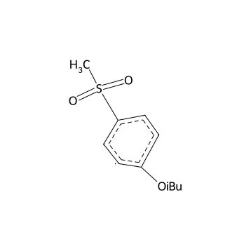 CC(C)COc1[c]cc(S(C)(=O)=O)cc1